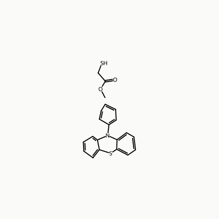 COC(=O)CS.c1ccc(N2c3ccccc3Sc3ccccc32)cc1